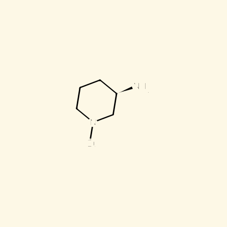 CCN1CCC[C@@H](N)C1